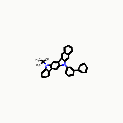 CC(C)(C)n1c2ccccc2c2cc3c(cc21)c1cc2ccccc2cc1n3-c1cccc(-c2ccccc2)c1